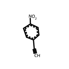 C#Cc1ccc([N+](=O)[O-])cc1